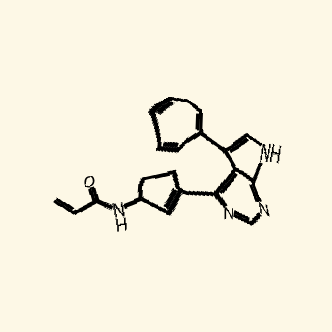 C=CC(=O)NC1C=C(c2ncnc3[nH]cc(-c4ccccc4)c23)CC1